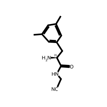 Cc1cc(C)cc(C[C@H](N)C(=O)NCC#N)c1